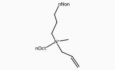 C=CC[N+](C)(CCCCCCCC)CCCCCCCCCCCC